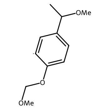 COCOc1[c]cc(C(C)OC)cc1